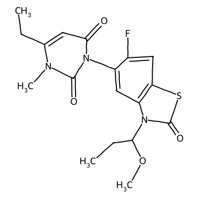 CCc1cc(=O)n(-c2cc3c(cc2F)sc(=O)n3C(CC)OC)c(=O)n1C